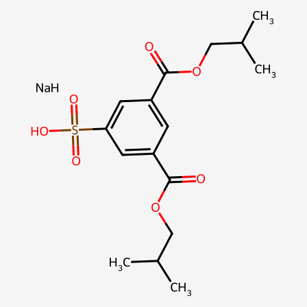 CC(C)COC(=O)c1cc(C(=O)OCC(C)C)cc(S(=O)(=O)O)c1.[NaH]